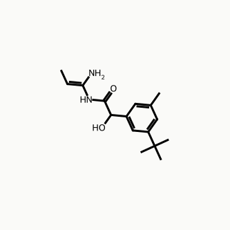 CC=C(N)NC(=O)C(O)c1cc(C)cc(C(C)(C)C)c1